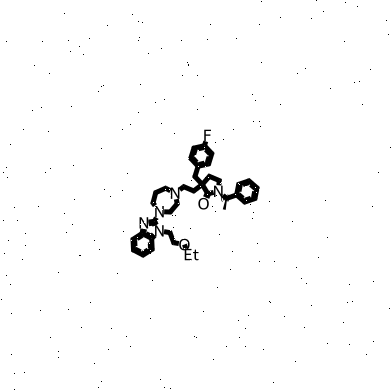 CCOCCn1c(N2CCCN(CCC3(Cc4ccc(F)cc4)CCN([C@H](C)c4ccccc4)C3=O)CC2)nc2ccccc21